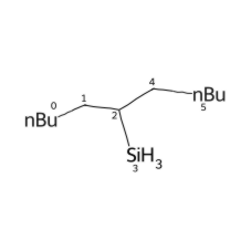 CCCCCC([SiH3])CCCCC